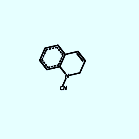 N#CN1CC=Cc2ccccc21